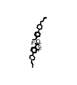 C=CCCC1CCC(c2ccc(C(C)OC(F)(F)c3ccc(C4CCC(/C=C/C)CC4)cc3F)cc2)CC1